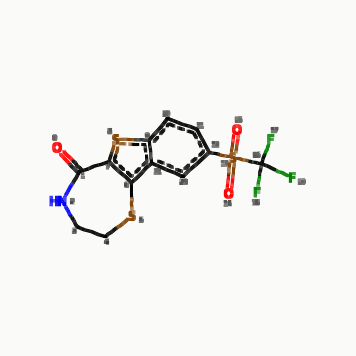 O=C1NCCSc2c1sc1ccc(S(=O)(=O)C(F)(F)F)cc21